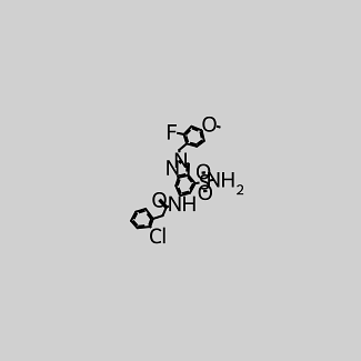 COc1ccc(Cn2cc3c(S(N)(=O)=O)cc(NC(=O)Cc4ccccc4Cl)cc3n2)c(F)c1